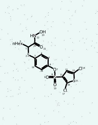 CCCCCCC(Sc1ccc(OS(=O)(=O)c2cc(Cl)sc2Cl)cc1)C(=O)NO